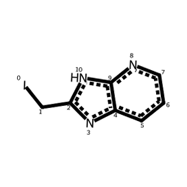 ICc1nc2cccnc2[nH]1